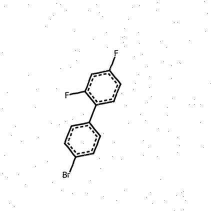 Fc1ccc(-c2ccc(Br)cc2)c(F)c1